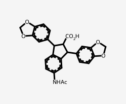 CC(=O)Nc1ccc2c(c1)C(c1ccc3c(c1)OCO3)C(C(=O)O)C2c1ccc2c(c1)OCO2